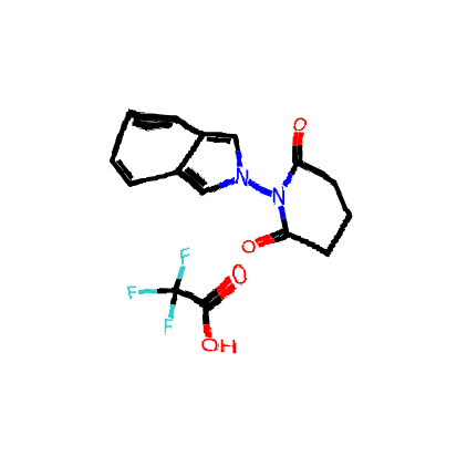 O=C(O)C(F)(F)F.O=C1CCCC(=O)N1n1cc2ccccc2c1